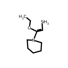 CCOC(=C[SiH3])N1CCCCC1